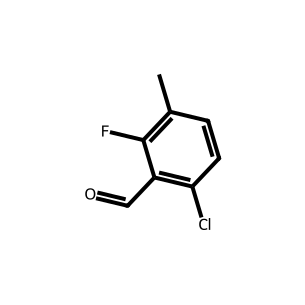 Cc1ccc(Cl)c(C=O)c1F